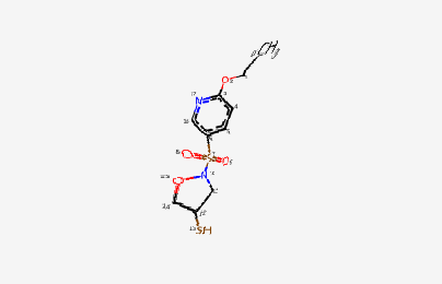 CCOc1ccc(S(=O)(=O)N2CC(S)CO2)cn1